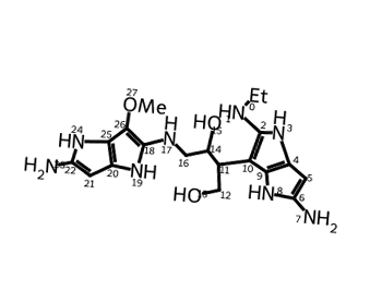 CCNc1[nH]c2cc(N)[nH]c2c1C(CO)C(O)CNc1[nH]c2cc(N)[nH]c2c1OC